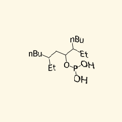 CCCCC(CC)CC(OP(O)O)C(CC)CCCC